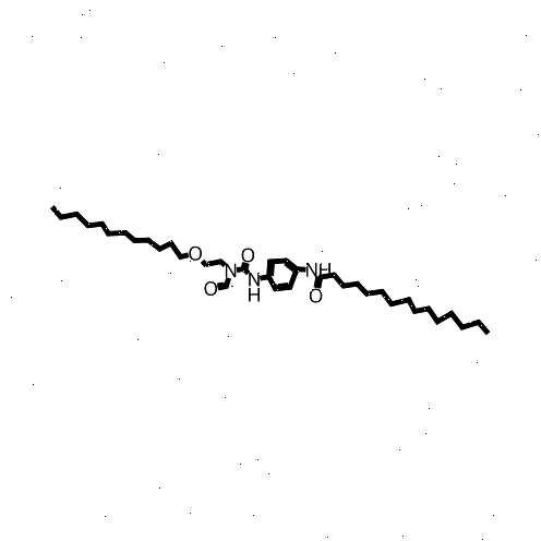 CCCCCCCCCCCCCCC(=O)Nc1ccc(NC(=O)N([C]=O)CCOCCCCCCCCCCCC)cc1